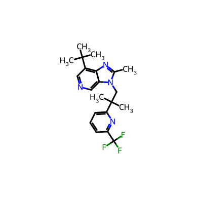 Cc1nc2c(C(C)(C)C)cncc2n1CC(C)(C)c1cccc(C(F)(F)F)n1